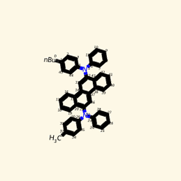 CCCCc1ccc(N(c2ccccc2)c2cc3c4ccccc4c(N(c4ccccc4)c4ccc(C)cc4)cc3c3ccccc23)cc1